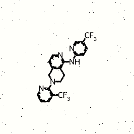 FC(F)(F)c1ccc(Nc2nccc3c2CCN(c2ncccc2C(F)(F)F)C3)nc1